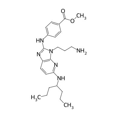 CCCC(CCC)Nc1ccc2nc(Nc3ccc(C(=O)OC)cc3)n(CCCN)c2n1